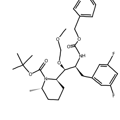 COCO[C@@H]([C@H](Cc1cc(F)cc(F)c1)NC(=O)OCc1ccccc1)[C@H]1CCC[C@H](C)N1C(=O)OC(C)(C)C